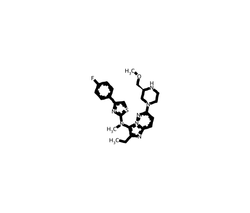 CCc1nc2ccc(N3CCN[C@H](COC)C3)nn2c1N(C)c1nc(-c2ccc(F)cc2)cs1